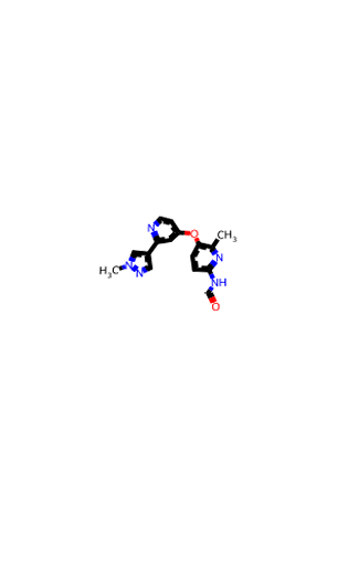 Cc1nc(N[C]=O)ccc1Oc1ccnc(-c2cnn(C)c2)c1